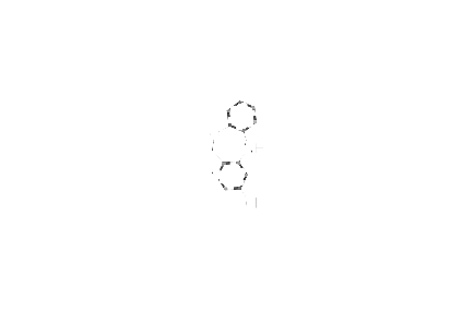 Clc1cnc2c(c1)Nc1ccccc1OC2